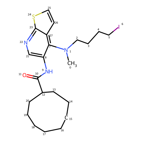 CN(CCCCI)c1c(NC(=O)C2CCCCCCCC2)cnc2sccc12